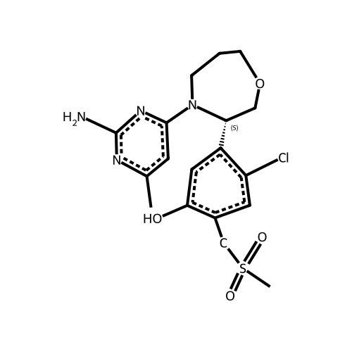 Cc1cc(N2CCCOC[C@@H]2c2cc(O)c(CS(C)(=O)=O)cc2Cl)nc(N)n1